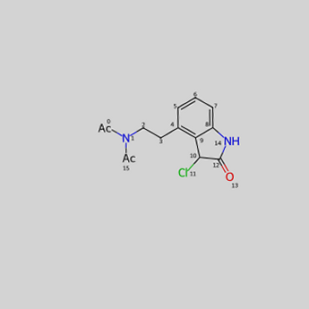 CC(=O)N(CCc1cccc2c1C(Cl)C(=O)N2)C(C)=O